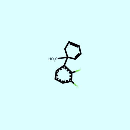 O=C(O)C1(c2cccc(F)c2F)C=CC=CC1